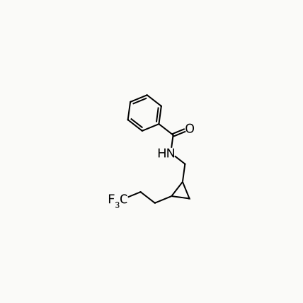 O=C(NCC1CC1CCC(F)(F)F)c1ccccc1